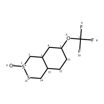 [O-][S+]1CC2CC(OC(F)(F)F)CCC2CS1